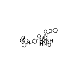 O=C1NC(=O)[C@@]2(CN(C(=O)COc3ccccc3)C[C@H]2NC(=O)c2ccc(CN3CCS(=O)(=O)c4ccccc43)cc2)N1